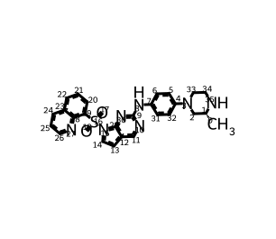 C[C@@H]1CN(c2ccc(Nc3ncc4ccn(S(=O)(=O)c5cccc6cccnc56)c4n3)cc2)CCN1